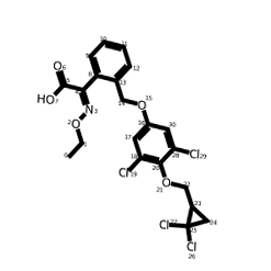 CCON=C(C(=O)O)c1ccccc1COc1cc(Cl)c(OCC2CC2(Cl)Cl)c(Cl)c1